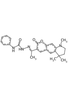 C/C(=N\NC(=O)Nc1ccccc1)c1cc2cc3c(cc2oc1=O)N(C)CCC3(C)C